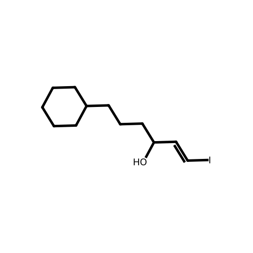 OC(C=CI)CCCC1CCCCC1